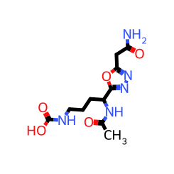 CC(=O)NC(CCCNC(=O)O)c1nnc(CC(N)=O)o1